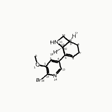 COc1cc(C2=CCC[C@@H]3CN[C@H]23)cnc1Br